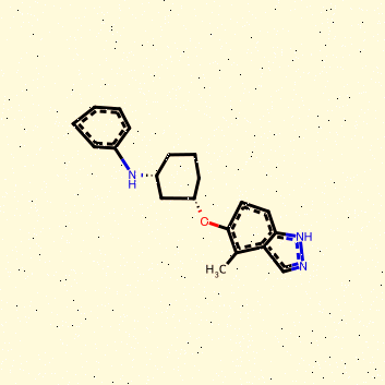 Cc1c(O[C@H]2CCC[C@@H](Nc3ccccc3)C2)ccc2[nH]ncc12